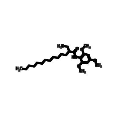 CCCCCCCCCCCCC(CC)C(=O)Nc1c(OC)cc(OC)cc1OC